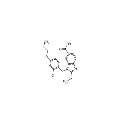 CCCOc1ccc(Cn2c(CC)nc3ccc(C(=O)O)nc32)c(Cl)c1